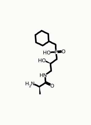 C[C@@H](N)C(=O)NC[C@@H](O)CP(=O)(O)CC1CCCCC1